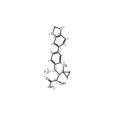 CCC[C@@H](C(N)=O)N([C@@H](c1ccc(-c2ccc3c(c2)OCO3)cc1)C(F)(F)F)C1(C#N)CC1